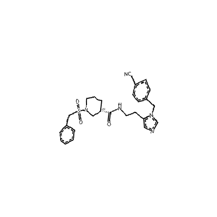 N#Cc1ccc(Cn2cncc2CCNC(=O)[C@H]2CCCN(S(=O)(=O)Cc3ccccc3)C2)cc1